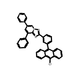 Clc1c2ccccc2c(-c2cccc(-c3nc4c(-c5ccccc5)cc(-c5ccccc5)cn4n3)c2)c2ccccc12